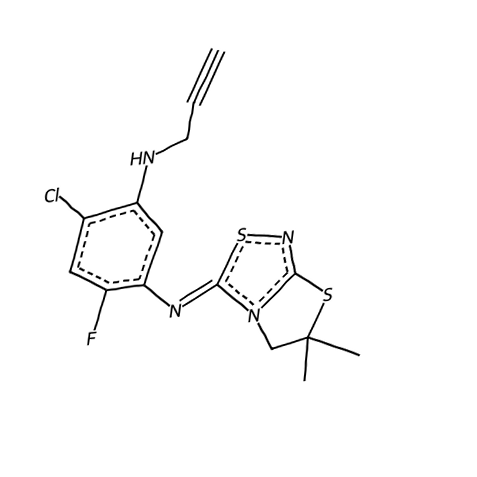 C#CCNc1cc(/N=c2\snc3n2CC(C)(C)S3)c(F)cc1Cl